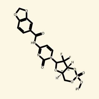 CC(C)OP1(=O)OC[C@H]2OC(n3ccc(NC(=O)c4ccc5c(c4)OCO5)nc3=O)C(F)(F)[C@@H]2O1